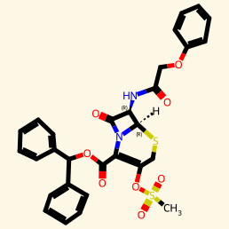 CS(=O)(=O)OC1=C(C(=O)OC(c2ccccc2)c2ccccc2)N2C(=O)[C@@H](NC(=O)COc3ccccc3)[C@H]2SC1